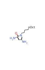 CCCCCCCCCCCCn1cc(N)cc(N)c1=O